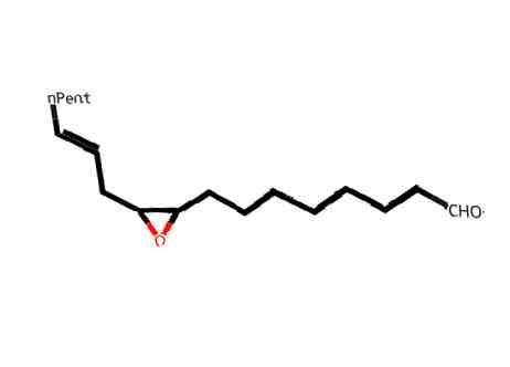 CCCCCC=CCC1OC1CCCCCCC[C]=O